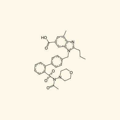 CCCc1nc2c(C)cc(C(=O)O)cc2n1Cc1ccc(-c2ccccc2S(=O)(=O)N(C(C)=O)N2CCOCC2)cc1